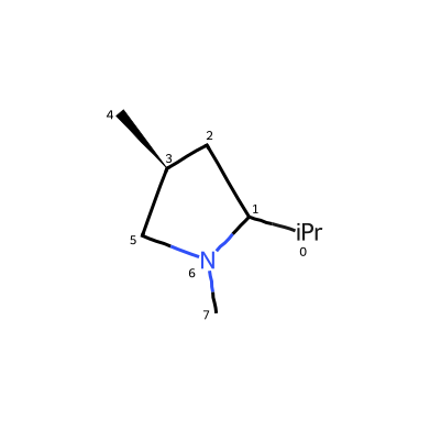 CC(C)C1C[C@H](C)CN1C